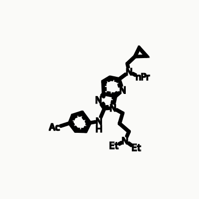 CCCN(CC1CC1)c1ccc2nc(Nc3ccc(C(C)=O)cc3)n(CCCN(CC)CC)c2n1